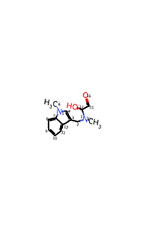 CN(Cc1cn(C)c2ccccc12)C(O)C=O